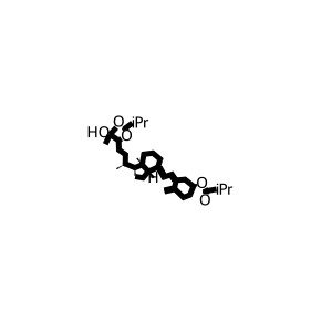 C=C1CC[C@H](OC(=O)C(C)C)C/C1=C/C=C1\CCC[C@]2(C)[C@@H]([C@H](C)CCC(OC(=O)C(C)C)C(C)(C)O)CC[C@@H]12